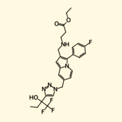 CCOC(=O)CCNCc1cc2cc(Cn3cc(C(O)(CC)C(F)(F)F)nn3)ccn2c1-c1ccc(F)cc1